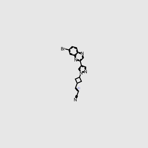 N#C/C=C/C1CC(n2cc(-c3cnc4ccc(Br)cc4n3)cn2)C1